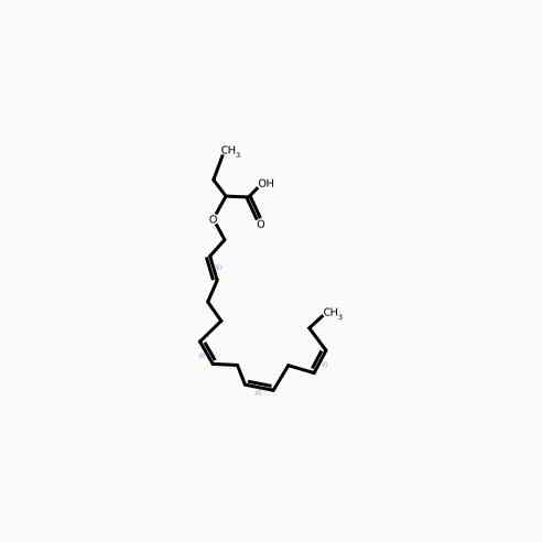 CC/C=C\C/C=C\C/C=C\CC/C=C/COC(CC)C(=O)O